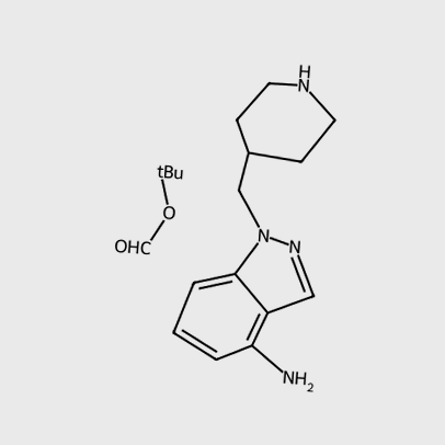 CC(C)(C)OC=O.Nc1cccc2c1cnn2CC1CCNCC1